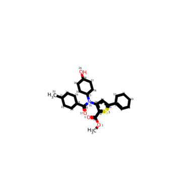 COC(=O)c1sc(C2=CCCCC2)cc1N(C(=O)C1CCC(C)CC1)C1CCC(O)CC1